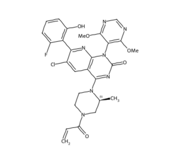 C=CC(=O)N1CCN(c2nc(=O)n(-c3c(OC)ncnc3OC)c3nc(-c4c(O)cccc4F)c(Cl)cc23)[C@@H](C)C1